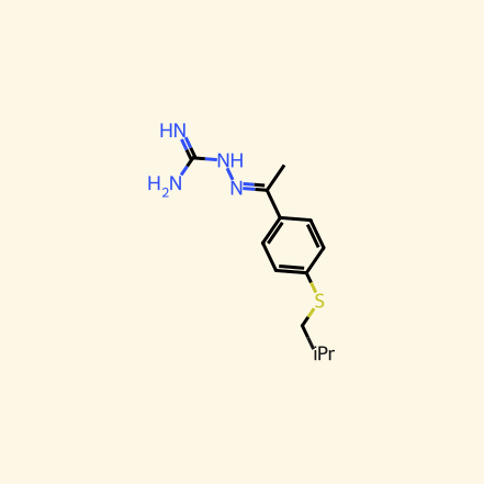 CC(=NNC(=N)N)c1ccc(SCC(C)C)cc1